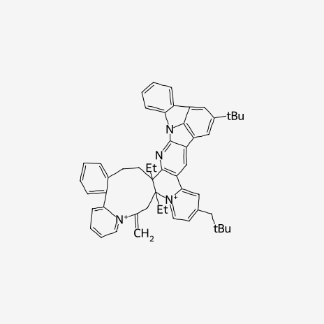 C=C1CC2(CC)[n+]3ccc(CC(C)(C)C)cc3-c3cc4c5cc(C(C)(C)C)cc6c7ccccc7n(c4nc3C2(CC)CCc2ccccc2-c2cccc[n+]21)c65